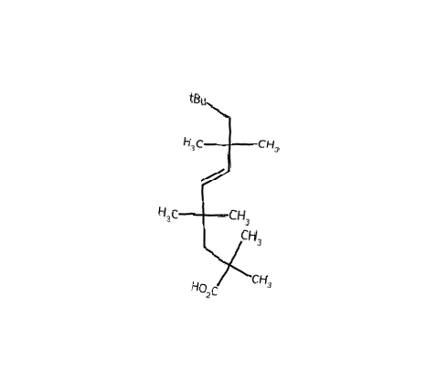 CC(C)(C)CC(C)(C)/C=C/C(C)(C)CC(C)(C)C(=O)O